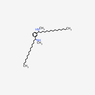 CCCCCCCCCCCCCCC(NC)c1cccc(C(CCCCCCCCCCCCCC)NC)c1